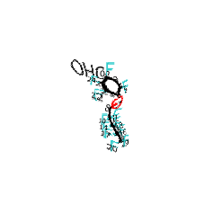 O=[C]C1(F)CC(F)=C(OCC(F)(F)C(F)(F)C(F)(F)C(F)F)C(F)=C1F